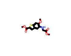 COC(=O)CNc1cc2cc(C(=O)OC)sc2cc1OC